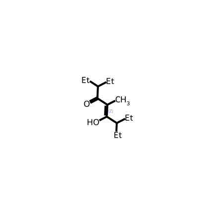 CCC(CC)C(=O)/C(C)=C(\O)C(CC)CC